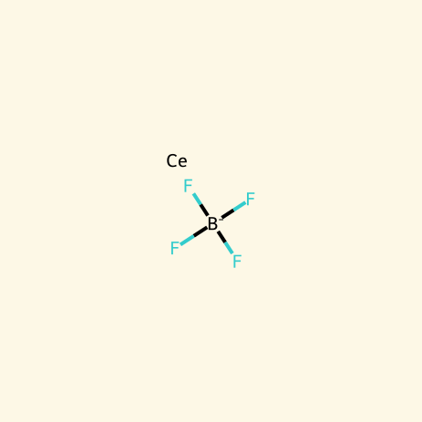 F[B-](F)(F)F.[Ce]